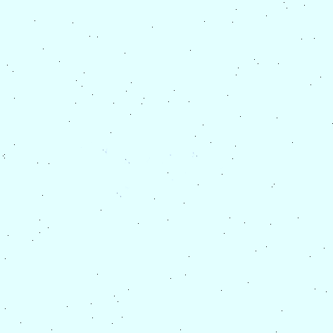 C#Cc1ccc2c3c([nH]c2c1)C(C)(C)c1cc(N2CCN(C4CC4)CC2)c(C#N)cc1C3=O